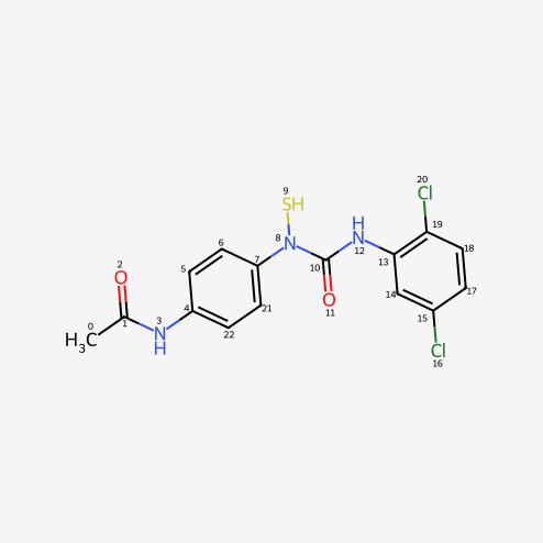 CC(=O)Nc1ccc(N(S)C(=O)Nc2cc(Cl)ccc2Cl)cc1